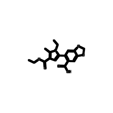 CCOC(=O)c1cc(-c2cc3c(cc2C(=O)O)OCO3)n(CC)c1C